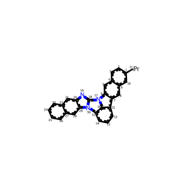 CC(C)c1ccc2cc3c(cc2c1)c1cccc2c1n3c1nc3cc4ccccc4cc3n21